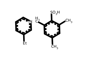 CCc1cccnc1.Cc1cc(C)c(S(=O)(=O)O)c(C)c1